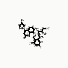 Cc1cc(-n2cc(F)cn2)c2cccc(OCc3c(Cl)cc(F)cc3[C@H](C)NC(=O)[C@H](O)CC(C)C)c2n1